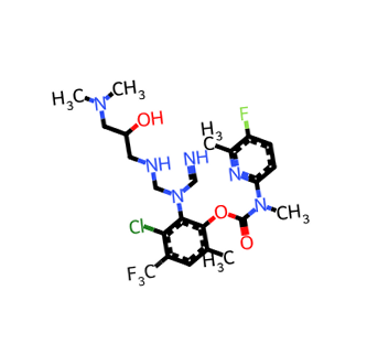 Cc1cc(C(F)(F)F)c(Cl)c(N(C=N)CNCC(O)CN(C)C)c1OC(=O)N(C)c1ccc(F)c(C)n1